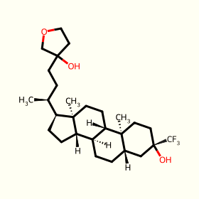 C[C@@H](CCC1(O)CCOC1)[C@@H]1CC[C@H]2[C@@H]3CC[C@H]4C[C@](O)(C(F)(F)F)CC[C@]4(C)[C@H]3CC[C@@]21C